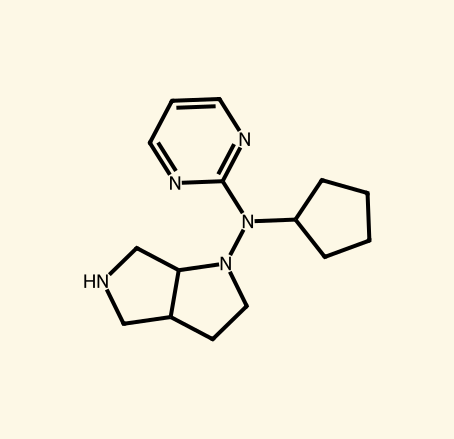 c1cnc(N(C2CCCC2)N2CCC3CNCC32)nc1